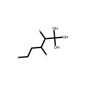 OC(O)(O)C(I)C(I)CCI